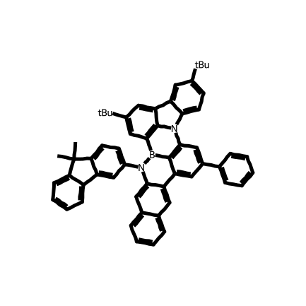 CC(C)(C)c1ccc2c(c1)c1cc(C(C)(C)C)cc3c1n2-c1cc(-c2ccccc2)cc2c1B3N(c1ccc3c(c1)-c1ccccc1C3(C)C)c1cc3ccccc3cc1-2